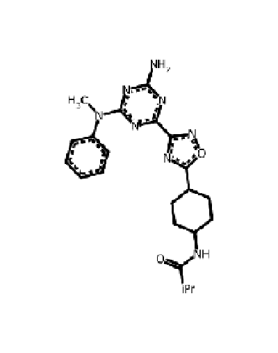 CC(C)C(=O)NC1CCC(c2nc(-c3nc(N)nc(N(C)c4ccccc4)n3)no2)CC1